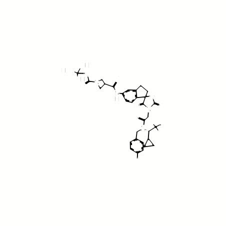 CC(C)(C)OC(=O)N1CC(C(=O)Nc2ccc3c(c2)CCC32OC(=O)N(CC(=O)N(Cc3ccc(F)cc3)[C@H](C3CC3)C(F)(F)F)C2=O)C1